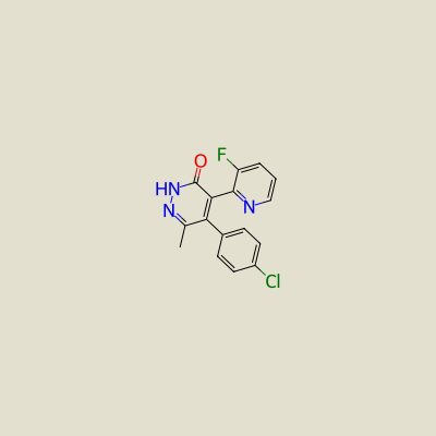 Cc1n[nH]c(=O)c(-c2ncccc2F)c1-c1ccc(Cl)cc1